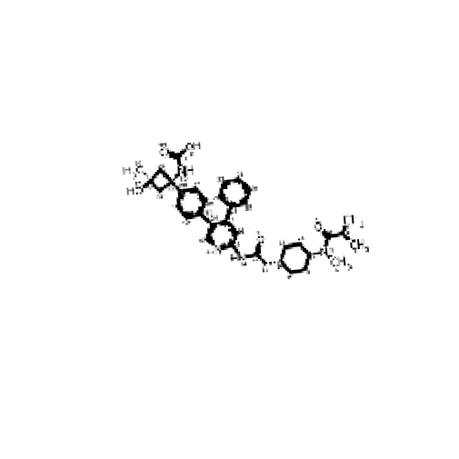 CC(C)C(=O)N(C)[C@H]1CC[C@H](CC(=O)Nc2cc(-c3ccccc3)c(-c3ccc([C@]4(NC(=O)O)C[C@@](C)(O)C4)cc3)cn2)CC1